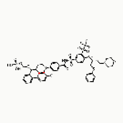 O=C(NS(=O)(=O)c1ccc(N[C@H](CCN2CCOCC2)CSc2ccccc2)c(S(=O)(=O)C(F)(F)F)c1)c1ccc(N2CCC(C(OCOP(=O)(O)O)c3ccccc3-c3ccc(Cl)cc3)CC2)cc1